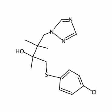 CC(C)(Cn1cncn1)C(C)(O)CSc1ccc(Cl)cc1